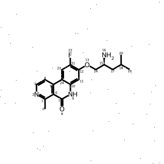 Cc1nccc2c1c(=O)[nH]c1cc(OC[C@@H](N)CC(C)C)c(F)cc12